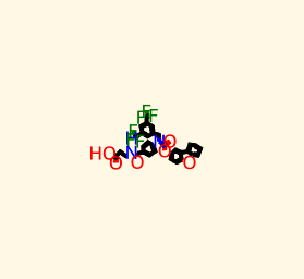 O=C(O)CCNC(=O)c1ccc(N(Cc2cc(C(F)(F)F)cc(C(F)(F)F)c2)C(=O)Oc2ccc3oc4ccccc4c3c2)cc1